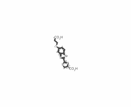 O=C(O)CCSc1ccc2nc(C3=N[C@@H](C(=O)O)CS3)sc2c1